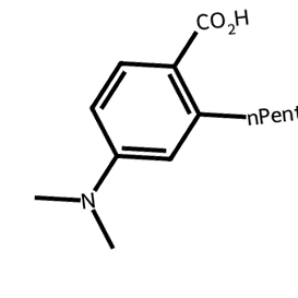 CCCCCc1cc(N(C)C)ccc1C(=O)O